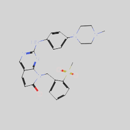 CN1CCN(c2ccc(Nc3ncc4ccc(=O)n(Cc5ccccc5S(C)(=O)=O)c4n3)cc2)CC1